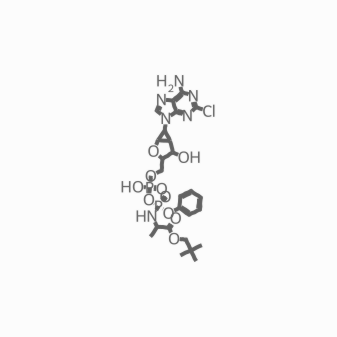 CC(NP(=O)(Oc1ccccc1)OP(=O)(O)OCC1OC2C(C1O)C2n1cnc2c(N)nc(Cl)nc21)C(=O)OCC(C)(C)C